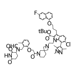 Cc1cccc(OCC(=O)N2CCCC3(CN(CCn4c(C(=O)OC(C)(C)C)c(CCCOc5cccc6cc(F)ccc56)c5ccc(Cl)c(-c6c(C)nn(C)c6C)c54)C3)C2)c1CN(C=O)C1CCC(=O)NC1=O